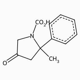 CC1(c2ccccc2)CC(=O)CN1C(=O)O